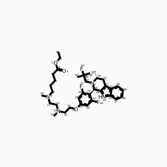 CCOC(=O)CCCCN(C)CCN(C)CCOc1cc(F)c([C@@H]2c3[nH]c4ccccc4c3C[C@@H](C)N2CC(C)(C)F)c(F)c1